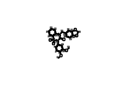 COc1ccc(N2C(=O)N(Cc3ccc4c(c3)OCO4)c3ccccc3S2(=O)=O)cc1OC